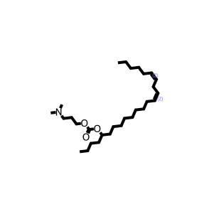 CCCCC/C=C\C/C=C\CCCCCCCCC(CCCC)OC(=O)OCCCN(C)C